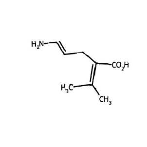 CC(C)=C(CC=CN)C(=O)O